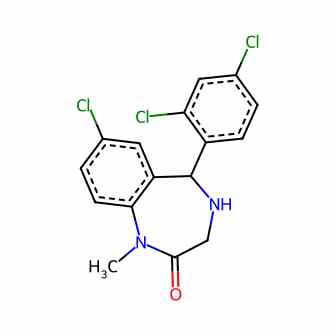 CN1C(=O)CNC(c2ccc(Cl)cc2Cl)c2cc(Cl)ccc21